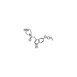 COc1ccc2[nH]cc(CC(=O)N3CCNCC3)c2c1